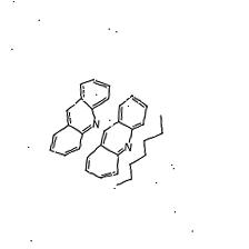 CCCCCCC.c1ccc2nc3ccccc3cc2c1.c1ccc2nc3ccccc3cc2c1